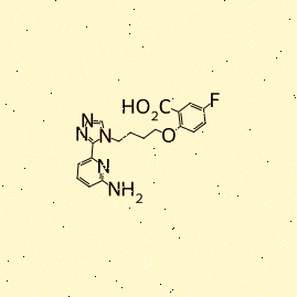 Nc1cccc(-c2nncn2CCCCOc2ccc(F)cc2C(=O)O)n1